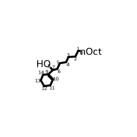 CCCCCCCCCCCCCCC(O)C1=CCCCC1